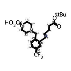 CC(C)(C)OC(=O)CC/C=C/c1cc(C(F)(F)F)ccc1CN1CCN(C(=O)O)CC1